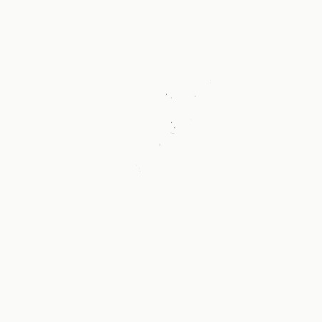 CC(C)=CCOC(=O)c1ccccc1C1=NC(=O)C(C)(C(C)C)N1